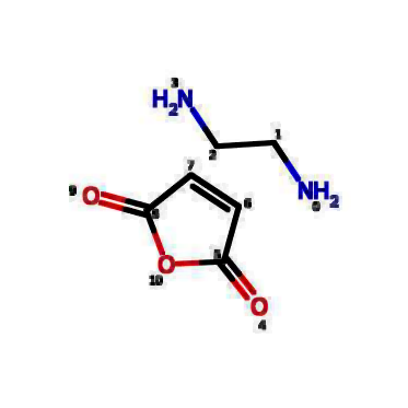 NCCN.O=C1C=CC(=O)O1